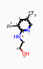 CC(C)c1cc(C(F)(F)F)cnc1NCCO